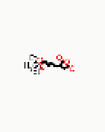 CCO[Si](C)(C/C=C/CC1CC(=O)OC1=O)OCC